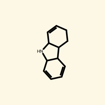 C1=CC2NC3C=CCCC3C2C=C1